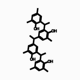 Cc1cc(C)c(O)c(C(C)c2cc(C(C)c3cc(C)c(O)c(C(C)c4cc(C)cc(C)c4O)c3)cc(C)c2O)c1